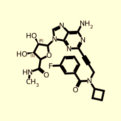 CNC(=O)C1OC(n2cnc3c(N)nc(C#CCN(C(=O)c4cccc(F)c4)C4CCC4)nc32)[C@H](O)[C@@H]1O